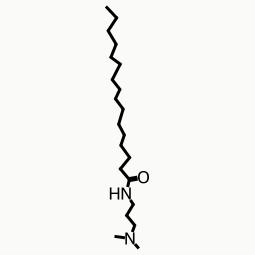 CCCCCCCCCCCCCCCC(=O)NCCCN(C)C